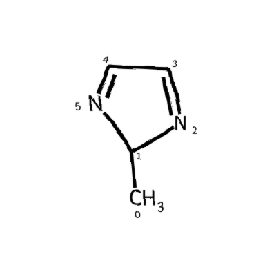 CC1N=CC=N1